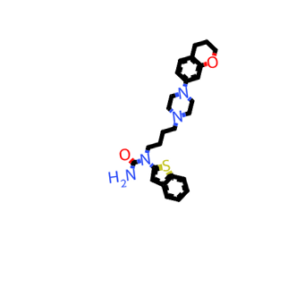 NC(=O)N(CCCCN1CCN(c2ccc3c(c2)OCCC3)CC1)c1cc2ccccc2s1